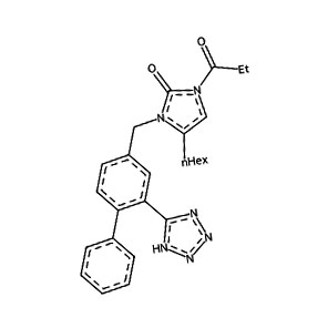 CCCCCCc1cn(C(=O)CC)c(=O)n1Cc1ccc(-c2ccccc2)c(-c2nnn[nH]2)c1